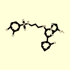 Cc1cnn2c(NCCCNS(=O)(=O)c3ccc(Cl)c(Cl)c3)cc(-c3ccccc3Cl)nc12